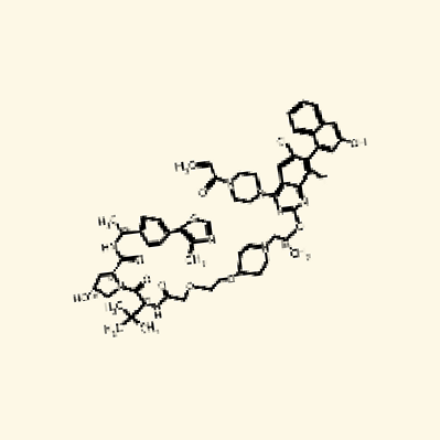 C=CC(=O)N1CCN(c2nc(O[C@H](C)CN3CCC(OCCOCC(=O)N[C@H](C(=O)N4C[C@H](O)C[C@H]4C(=O)N[C@@H](C)c4ccc(-c5scnc5C)cc4)C(C)(C)C)CC3)nc3c(F)c(-c4cc(O)cc5ccccc45)c(Cl)cc23)CC1